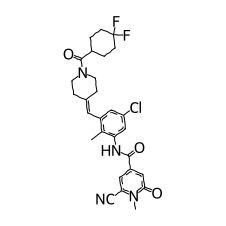 Cc1c(C=C2CCN(C(=O)C3CCC(F)(F)CC3)CC2)cc(Cl)cc1NC(=O)c1cc(C#N)n(C)c(=O)c1